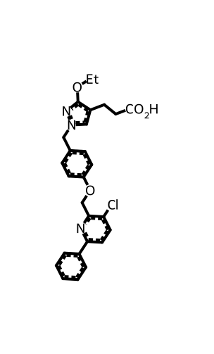 CCOc1nn(Cc2ccc(OCc3nc(-c4ccccc4)ccc3Cl)cc2)cc1CCC(=O)O